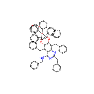 c1ccc(CNc2nc(Cc3ccccc3)nc3c(Cc4ccccc4)c(OC(Cc4ccccc4)(Cc4ccccc4)Cc4ccccc4)c(OC(Cc4ccccc4)(Cc4ccccc4)Cc4ccccc4)c(Cc4ccccc4)c23)cc1